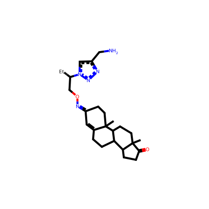 CCC(CON=C1C=C2CCC3C4CCC(=O)C4(C)CCC3C2(C)CC1)n1cc(CN)nn1